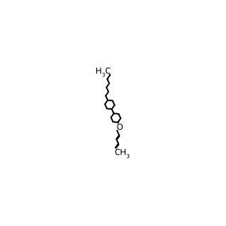 CC=CC=CCOC1CCC(C2CCC(CCCCCCC)CC2)CC1